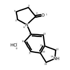 Cl.O=C1CCCN1c1ccc2c(c1)CNC2